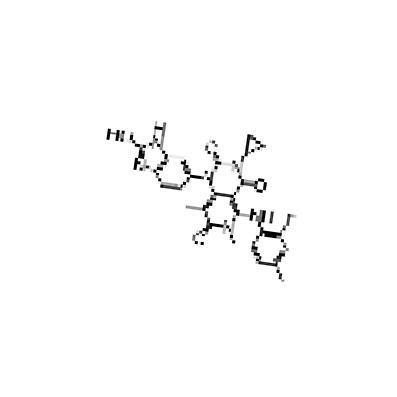 Cc1ccc(Nc2c3c(=O)n(C4CC4)c(=O)n(-c4ccc5nc(O)[nH]c5c4)c3c(C)c(=O)n2C)c(F)c1